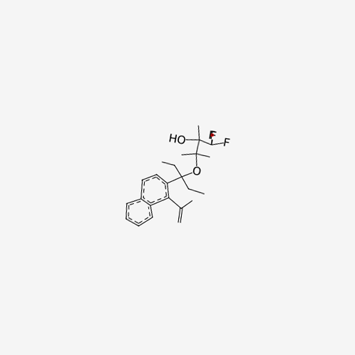 C=C(C)c1c(C(CC)(CC)OC(C)(C)C(C)(O)C(F)(F)F)ccc2ccccc12